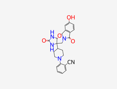 N#Cc1ccccc1N1CCC(C2(CN3Cc4cc(O)ccc4C3=O)NC(=O)NC2=O)CC1